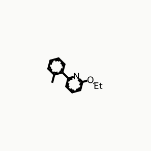 CCOc1cccc(-c2ccccc2C)n1